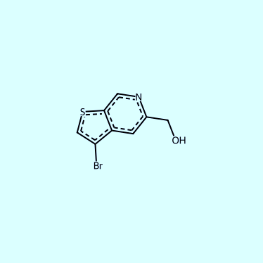 OCc1cc2c(Br)csc2cn1